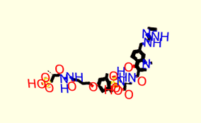 Cc1cc(OCCCC(=O)NNC(=O)[C@@H](C)CS(=O)(=O)O)cc(C)c1S(=O)(=O)N[C@@H](CNC(=O)c1cn(C)c2cc(CNc3ncc[nH]3)ccc2c1=O)C(=O)O